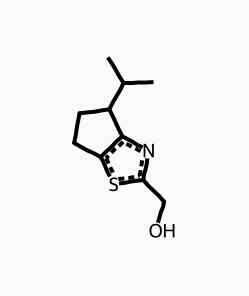 CC(C)C1CCc2sc(CO)nc21